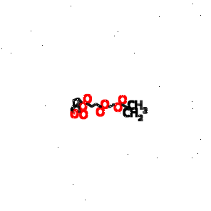 C=C(C)C(=O)OCCOC(=O)CCC(=O)OC1C2CC3C(=O)OC1C3C2